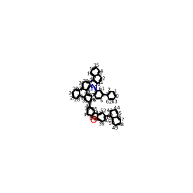 c1ccc(-c2cccc(-n3c4ccc5ccccc5c4c4ccc5c6ccccc6c6cc(-c7ccc8oc9ccc(-c%10cccc%11ccccc%10%11)cc9c8c7)ccc6c5c43)c2)cc1